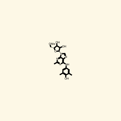 COC[C@H]1O[C@@H](n2cnc3c(Nc4cc(C)c(O)c(C)c4)nc(C)nc32)C(O)C1O